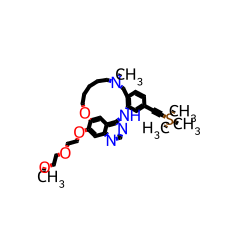 COCCOCCOc1cc2ncnc3c2cc1OCCCCCN(C)Cc1ccc(C#CS(C)(C)C)cc1N3